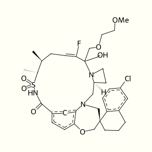 COCCOCC1(CO)/C(F)=C/C[C@H](C)[C@@H](C)S(=O)(=O)NC(=O)c2ccc3c(c2)N(C[C@@H]2CCN21)C[C@@]1(CCCc2cc(Cl)ccc21)CO3